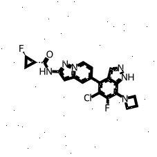 O=C(Nc1cc2cc(-c3c(Cl)c(F)c(N4CCC4)c4[nH]ncc34)ccn2n1)[C@@H]1C[C@@H]1F